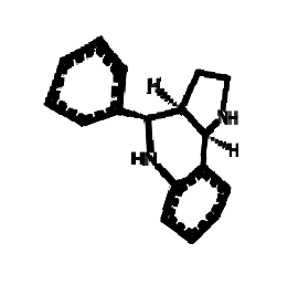 c1ccc([C@@H]2Nc3ccccc3[C@@H]3NCC[C@H]23)cc1